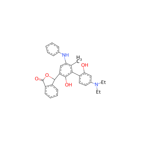 CCN(CC)c1ccc(-c2c(C)c(Nc3ccccc3)cc(C3OC(=O)c4ccccc43)c2O)c(O)c1